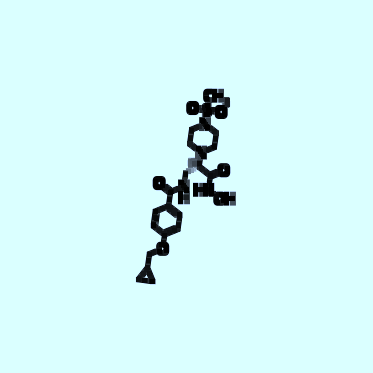 CS(=O)(=O)N1CCN([C@@H](CNC(=O)c2ccc(OCC3CC3)cc2)C(=O)NO)CC1